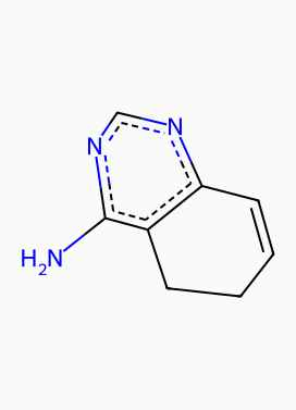 Nc1ncnc2c1CCC=C2